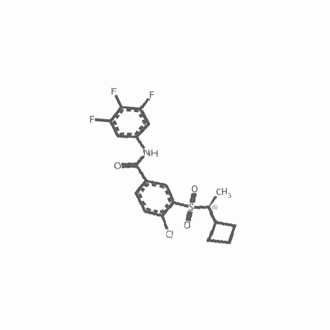 C[C@@H](C1CCC1)S(=O)(=O)c1cc(C(=O)Nc2cc(F)c(F)c(F)c2)ccc1Cl